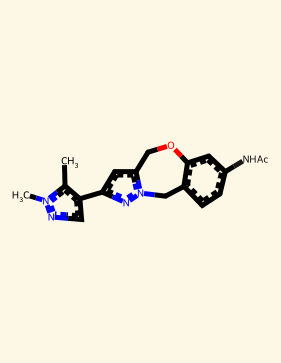 CC(=O)Nc1ccc2c(c1)OCc1cc(-c3cnn(C)c3C)nn1C2